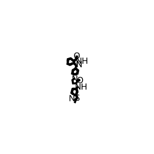 Cc1nc2ccc(NC3CCN(c4ccc(-c5n[nH]c(=O)c6ccccc56)cc4)C3=O)cc2s1